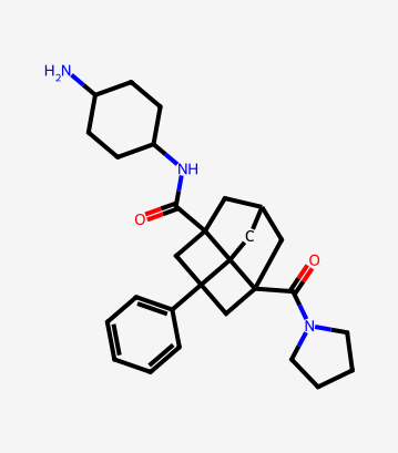 NC1CCC(NC(=O)C23CC4CC5(C(=O)N6CCCC6)CC(c6ccccc6)(C2)C35C4)CC1